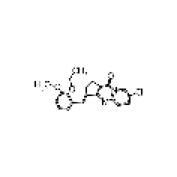 CCOc1c(C=C2CCc3c2nc2ccc(Cl)cn2c3=O)cccc1OC